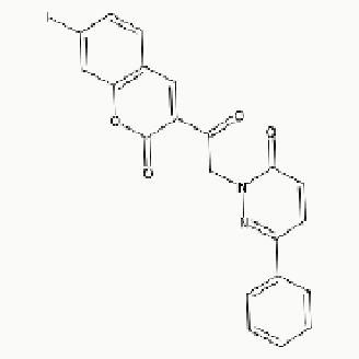 O=C(Cn1nc(-c2ccccc2)ccc1=O)c1cc2ccc(I)cc2oc1=O